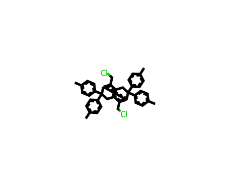 Cc1ccc(C2(c3ccc(C)cc3)Cc3c4c(CCl)c2c(c3CCl)C(c2ccc(C)cc2)(c2ccc(C)cc2)C4)cc1